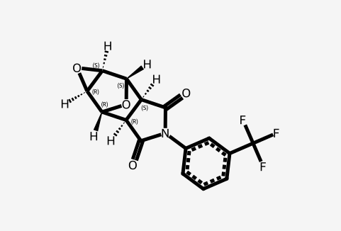 O=C1[C@@H]2[C@@H]3O[C@@H]([C@H]4O[C@H]43)[C@@H]2C(=O)N1c1cccc(C(F)(F)F)c1